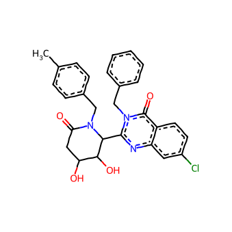 Cc1ccc(CN2C(=O)CC(O)C(O)C2c2nc3cc(Cl)ccc3c(=O)n2Cc2ccccc2)cc1